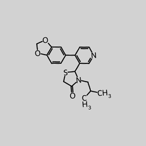 CC(C)CN1C(=O)CSC1c1cnccc1-c1ccc2c(c1)OCO2